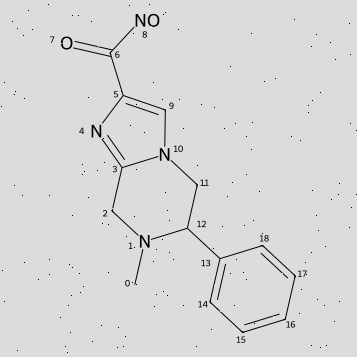 CN1Cc2nc(C(=O)N=O)cn2CC1c1ccccc1